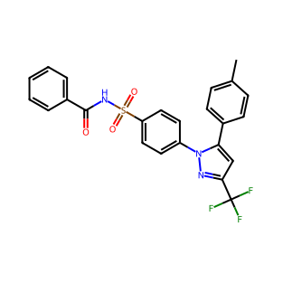 Cc1ccc(-c2cc(C(F)(F)F)nn2-c2ccc(S(=O)(=O)NC(=O)c3ccccc3)cc2)cc1